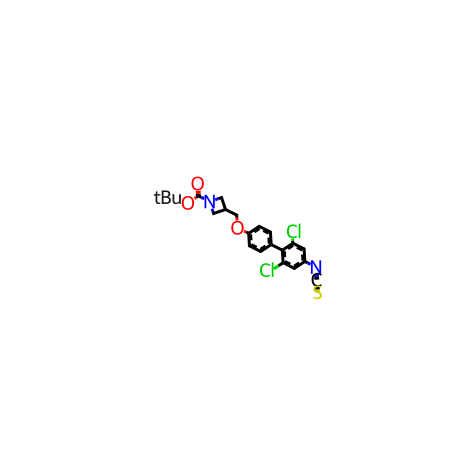 CC(C)(C)OC(=O)N1CC(COc2ccc(-c3c(Cl)cc(N=C=S)cc3Cl)cc2)C1